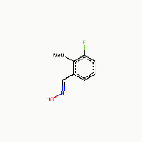 COc1c(F)cccc1C=NO